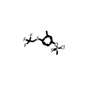 Cc1cc(OP(C)(=S)Cl)ccc1SCC(F)(F)F